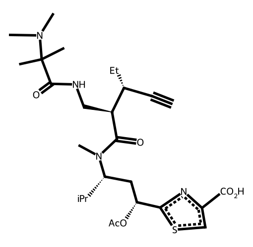 C#C[C@@H](CC)[C@H](CNC(=O)C(C)(C)N(C)C)C(=O)N(C)[C@H](C[C@@H](OC(C)=O)c1nc(C(=O)O)cs1)C(C)C